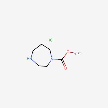 CCCOC(=O)N1CCCNCC1.Cl